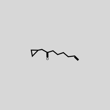 C=CCCCCC(=O)CC1CC1